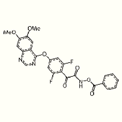 COc1cc2ncnc(Oc3cc(F)c(C(=O)C(=O)NOC(=O)c4ccccc4)c(F)c3)c2cc1OC